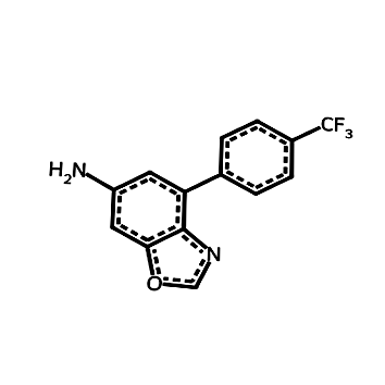 Nc1cc(-c2ccc(C(F)(F)F)cc2)c2ncoc2c1